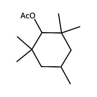 CC(=O)OC1C(C)(C)CC(C)CC1(C)C